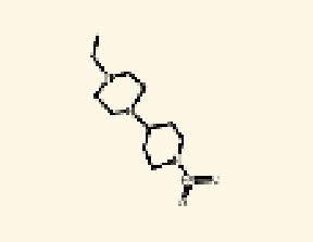 CCN1CCN(C2CCN([SH](=O)=O)CC2)CC1